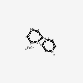 [Fe+2].c1cnccn1.c1cnccn1